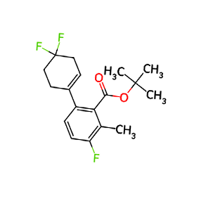 Cc1c(F)ccc(C2=CCC(F)(F)CC2)c1C(=O)OC(C)(C)C